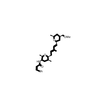 COC[C@H]1C[C@@H](/C=C/C(C)=C/C[C@@H]2O[C@H](C)[C@H](NC(=O)/C=C\C(C)C)C[C@@H]2C)O[C@@H](C)C1